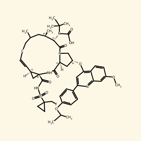 COc1ccc2c(O[C@@H]3C[C@H]4C(=O)N[C@]5(C(=O)NS(=O)(=O)C6(CF)CC6)C[C@H]5C=CCCC(C)C[C@@H](C)[C@H](N(C(=O)O)C(C)(C)C)C(=O)N4C3)cc(-c3ccc(OC(C)C)cc3)nc2c1